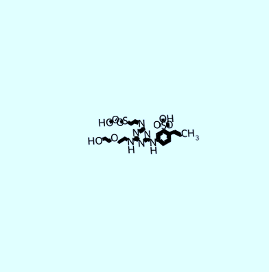 CC=Cc1ccc(Nc2nc(/N=C\CSOOO)nc(NCCOCCO)n2)cc1S(=O)(=O)O